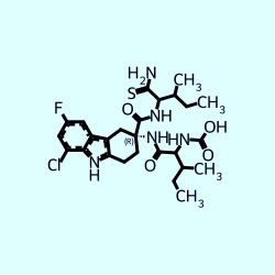 CCC(C)C(NC(=O)O)C(=O)N[C@]1(C(=O)NC(C(N)=S)C(C)CC)CCc2[nH]c3c(Cl)cc(F)cc3c2C1